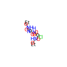 CCOCCCNC(=O)c1cc(S(=O)(=O)NC(=O)c2ccc(C(=O)NCCOCC)nc2)ccc1Cl